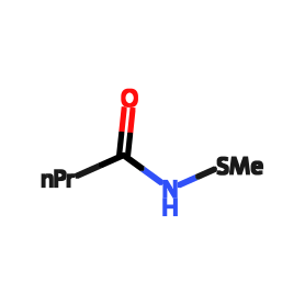 CCCC(=O)NSC